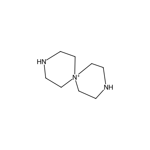 C1C[N+]2(CCN1)CCNCC2